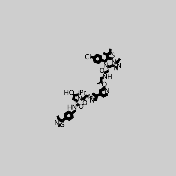 Cc1ncsc1-c1ccc(CNC(=O)[C@@H]2C[C@@H](O)CN2C(=O)[C@@H](C(C)C)n2cc(-c3ccnc(O[C@@H](C)CNC(=O)C[C@@H]4N=C(c5ccc(Cl)cc5)c5c(sc(C)c5C)-n5c(C)nnc54)c3)cn2)cc1